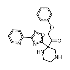 O=C(COc1ccccc1)C1(c2nc(-c3ccccn3)no2)CNCCN1